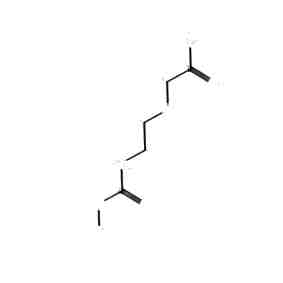 CC(C)(C)OC(=O)NCCOCC(N)=O